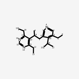 CCc1cncc(CC(C)c2c(CC)ncnc2CI)c1C(C)I